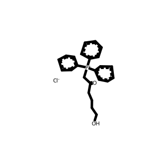 O=C(CCCCO)C[P+](c1ccccc1)(c1ccccc1)c1ccccc1.[Cl-]